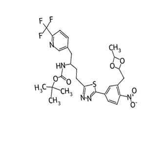 CC1OC(Cc2cc(-c3nnc(CCC(Cc4ccc(C(F)(F)F)nc4)NC(=O)OC(C)(C)C)s3)ccc2[N+](=O)[O-])O1